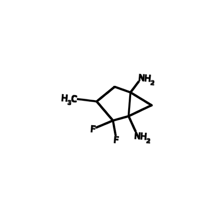 CC1CC2(N)CC2(N)C1(F)F